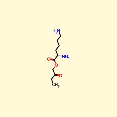 CCC(=O)COC(=O)[C@@H](N)CCCCN